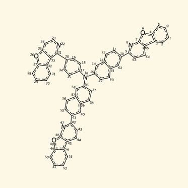 c1ccc2c(c1)oc1nc(-c3ccc4cc(N(c5ccc(-c6nccc7oc8ccccc8c67)cc5)c5ccc6cc(-c7ccc8c(n7)oc7ccccc78)ccc6c5)ccc4c3)ccc12